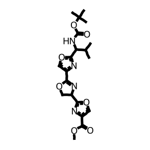 COC(=O)c1coc(C2COC(c3coc(C(NC(=O)OC(C)(C)C)C(C)C)n3)=N2)n1